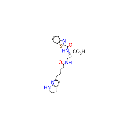 O=C(CCCCc1ccc2c(n1)NCCC2)NCC[C@H](NC(=O)c1nc2ccccc2s1)C(=O)O